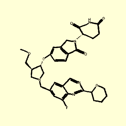 COC[C@@H]1CN(Cc2cc(F)c3nc(C4CCCCO4)ncc3c2)C[C@H]1Oc1ccc2c(c1)CN([C@H]1CCC(=O)NC1=O)C2=O